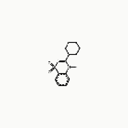 CN1C(C2CCCCC2)=NS(=O)(=O)c2ccccc21